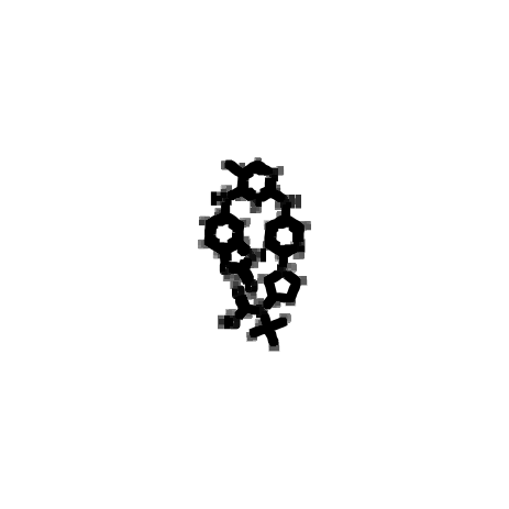 Cc1cnc(Nc2ccc(N3CCC(N(C(=O)O)C(C)(C)C)C3)nc2)nc1Nc1ccc2oc(=O)[nH]c2c1